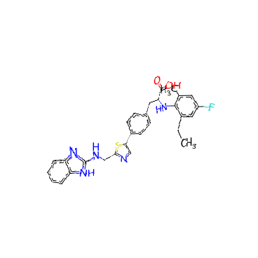 CCc1cc(F)cc(C)c1NC(Cc1ccc(-c2cnc(CNc3nc4ccccc4[nH]3)s2)cc1)C(=O)O